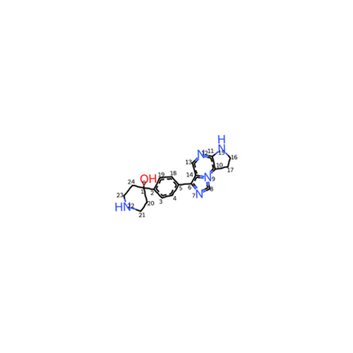 OC1(c2ccc(-c3ncn4c5c(ncc34)NCC5)cc2)CCNCC1